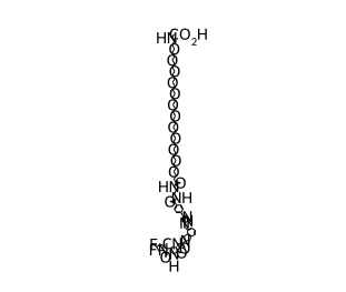 N#C[C@@H]1CC(F)(F)CN1C(=O)[C@@H]1C[C@@H](CC(=O)N2Cc3cccc(Cn4cc(-c5ccc(C(=O)NCCNC(=O)CCOCCOCCOCCOCCOCCOCCOCCOCCOCCOCCOCCOCCNC(=O)O)cc5)nn4)c3C2)C(=O)N1